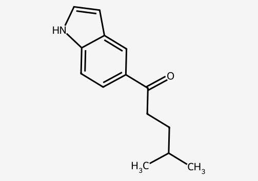 CC(C)CCC(=O)c1ccc2[nH]ccc2c1